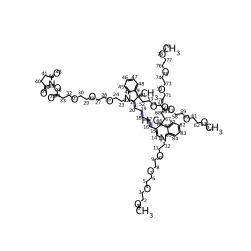 COCCOCCOCCOCCN1C=C(/C=C/C=C/C=C2/N(CCOCCOCCOCCC(=O)ON3C(=O)CCC3=O)c3ccccc3C2(C)CCOCCOCCOCCOC)C(C)(CCOCCOCCOCCOC)c2ccccc21